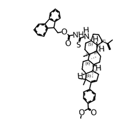 C=C(C)[C@@H]1CC[C@]2(NC(=S)NC(=O)OCC3c4ccccc4-c4ccccc43)CC[C@]3(C)[C@H](CC[C@@H]4[C@@]5(C)CC=C(c6ccc(C(=O)OC)cc6)C(C)(C)[C@@H]5CC[C@]43C)[C@@H]12